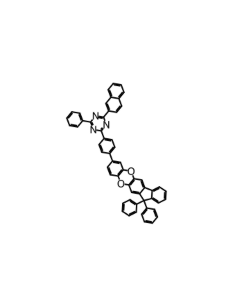 c1ccc(-c2nc(-c3ccc(-c4ccc5c(c4)Oc4cc6c(cc4O5)C(c4ccccc4)(c4ccccc4)c4ccccc4-6)cc3)nc(-c3ccc4ccccc4c3)n2)cc1